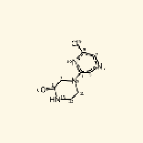 O=C1CN(c2cncc(Cl)n2)CCN1